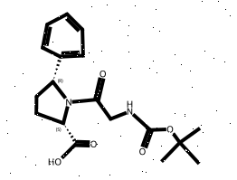 CC(C)(C)OC(=O)NCC(=O)N1[C@@H](c2ccccc2)CC[C@H]1C(=O)O